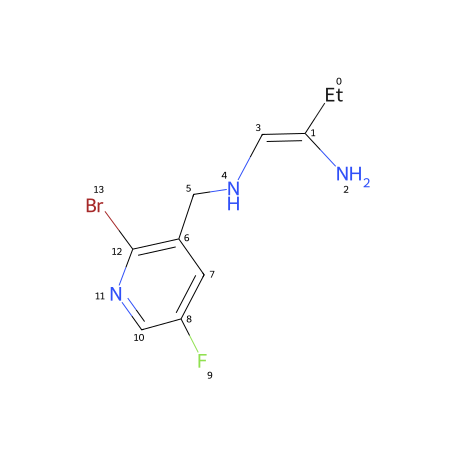 CC/C(N)=C/NCc1cc(F)cnc1Br